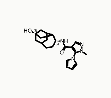 Cn1ncc(C(=O)N[C@H]2CCC3CC4C[C@@](O)(C3)CC42)c1-n1cccc1